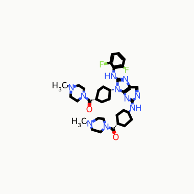 CN1CCN(C(=O)[C@H]2CC[C@H](Nc3ncc4nc(Nc5c(F)cccc5F)n([C@H]5CC[C@@H](C(=O)N6CCN(C)CC6)CC5)c4n3)CC2)CC1